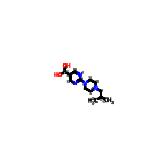 CC(C)CN1CCN(c2ncc(B(O)O)cn2)CC1